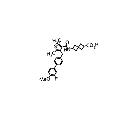 COc1ccc(-c2ccc(Cc3c(C)sc(C)c3C(=O)NC3CC4(C3)CC(C(=O)O)C4)cc2)cc1F